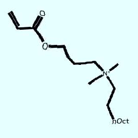 C=CC(=O)OCCC[N+](C)(C)CCCCCCCCCC